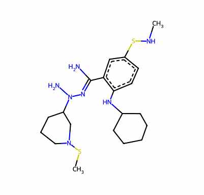 CNSc1ccc(NC2CCCCC2)c(/C(N)=N/N(N)C2CCCN(SC)C2)c1